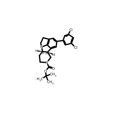 CC(C)(C)OC(=O)N1CC[C@H]2[C@@H](C1)c1cc(-c3cc(Cl)cc(Cl)c3)cc3c1N2CC3